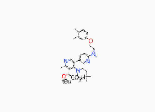 Cc1ccc(OCCN(C)c2ccc(-c3cnc(C)c([C@H](OC(C)(C)C)C(=O)O)c3N3CCC(C)(C)CC3)cn2)cc1C